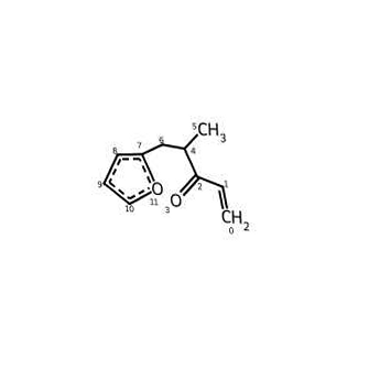 C=CC(=O)C(C)Cc1ccco1